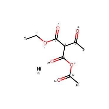 CCOC(=O)C(C(C)=O)C(=O)OC(C)=O.[Ni]